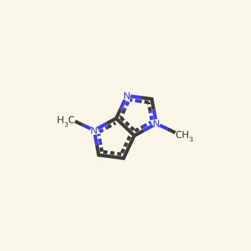 Cn1cnc2c1ccn2C